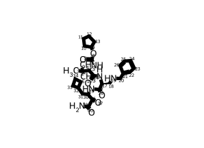 CC(C)(C)[C@H](NC(=O)OC1CCCC1)C(=O)N[C@@H](CNCc1ccccc1)C(=O)NC(CC1CCC1)C(=O)C(N)=O